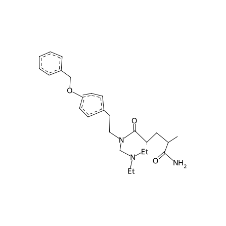 CCN(CC)CN(CCc1ccc(OCc2ccccc2)cc1)C(=O)[CH]CC(C)C(N)=O